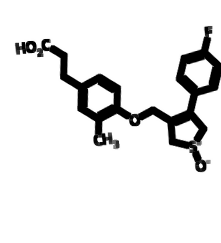 Cc1cc(CCC(=O)O)ccc1OCC1=C(c2ccc(F)cc2)C[S+]([O-])C1